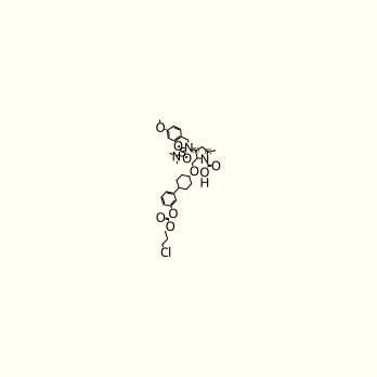 COc1ccc(CN([C@H]2C[C@@H](C)N(C(=O)O)C2COC2CCC(c3cccc(OC(=O)OCCCCl)c3)CC2)S(=O)(=O)N(C)C)cc1